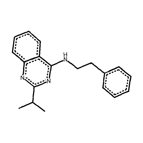 CC(C)c1nc(NCCc2ccccc2)c2ccccc2n1